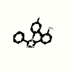 Cc1cccc2c1c1cc(I)ccc1n1c(-c3ccccc3)nnc21